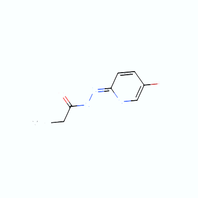 COCC(=O)N/N=c1/ccc(Br)c[nH]1